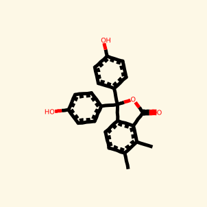 Cc1ccc2c(c1C)C(=O)OC2(c1ccc(O)cc1)c1ccc(O)cc1